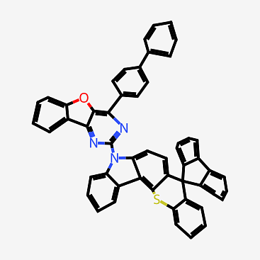 c1ccc(-c2ccc(-c3nc(-n4c5ccccc5c5c6c(ccc54)C4(c5ccccc5S6)c5ccccc5-c5ccccc54)nc4c3oc3ccccc34)cc2)cc1